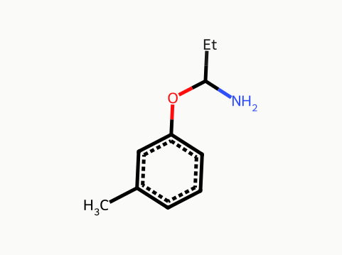 CCC(N)Oc1cccc(C)c1